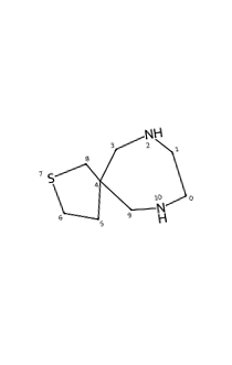 C1CNCC2(CCSC2)CN1